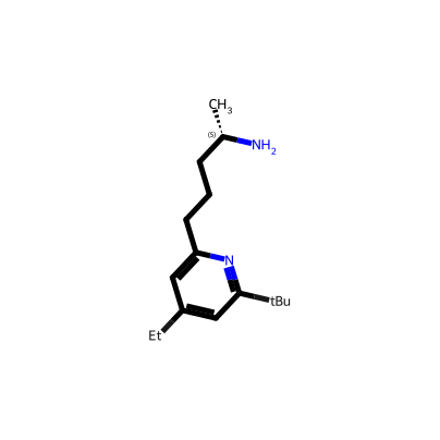 CCc1cc(CCC[C@H](C)N)nc(C(C)(C)C)c1